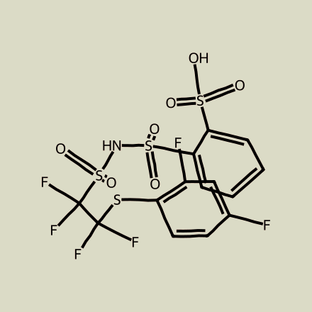 O=S(=O)(O)c1ccccc1S(=O)(=O)NS(=O)(=O)C(F)(F)C(F)(F)Sc1ccc(F)cc1F